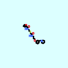 O=C(CSCCNC(=O)c1ccco1)NCCCOc1cccc(CN2CCCCC2)c1